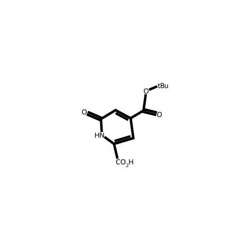 CC(C)(C)OC(=O)c1cc(C(=O)O)[nH]c(=O)c1